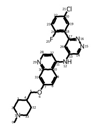 CN1CCC(COc2ccc3c(Nc4cnnc(-c5cc(Cl)ccc5F)c4)ccnc3c2)CC1